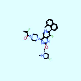 C=C(F)C(=O)N1CCN(c2nc(OC[C@@H]3C[C@@H](F)CN3C)nc3c(F)c(-c4cccc5cccc(C)c45)ncc23)CC1